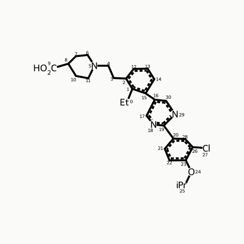 CCc1c(CCN2CCC(C(=O)O)CC2)cccc1-c1cnc(-c2ccc(OC(C)C)c(Cl)c2)nc1